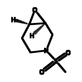 CS(=O)(=O)N1CC[C@H]2O[C@H]2C1